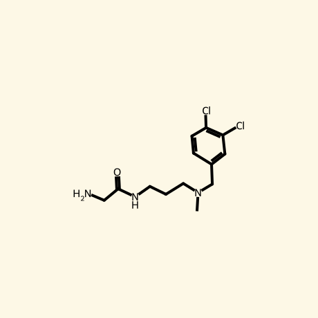 CN(CCCNC(=O)CN)Cc1ccc(Cl)c(Cl)c1